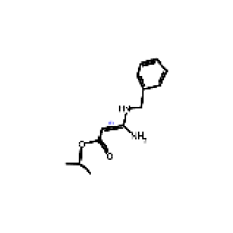 CC(C)OC(=O)/C=C(\N)NCc1ccccc1